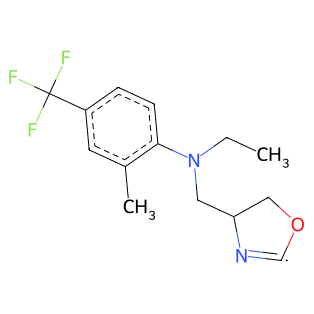 CCN(CC1CO[C]=N1)c1ccc(C(F)(F)F)cc1C